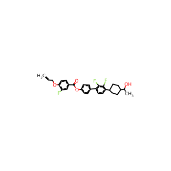 C=CCOc1ccc(C(=O)Oc2ccc(-c3ccc(C4CCC(C(C)O)CC4)c(F)c3F)cc2)cc1F